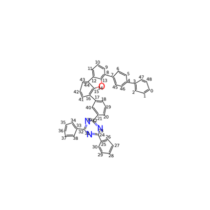 c1ccc(-c2ccc(-c3cccc4c3oc3c(-c5cccc(-c6nc(-c7ccccc7)nc(-c7ccccc7)n6)c5)cccc34)cc2)cc1